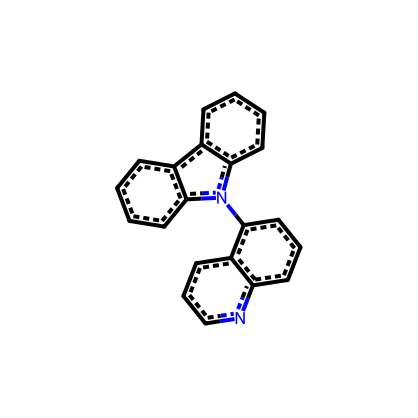 c1cc(-n2c3ccccc3c3ccccc32)c2cccnc2c1